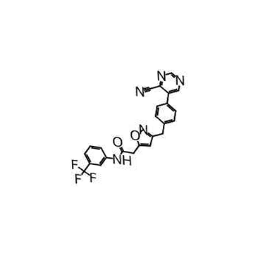 N#Cc1ncncc1-c1ccc(Cc2cc(CC(=O)Nc3cccc(C(F)(F)F)c3)on2)cc1